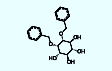 O[C@@H]1[C@@H](O)[C@H](O)[C@H](OCc2ccccc2)[C@H](OCc2ccccc2)[C@H]1O